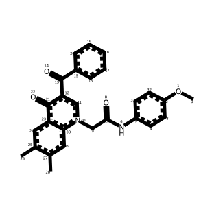 COc1ccc(NC(=O)Cn2cc(C(=O)c3ccccc3)c(=O)c3cc(C)c(C)cc32)cc1